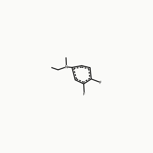 CCN(C)c1ccc(F)c(F)c1